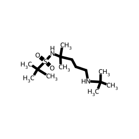 CC(C)(C)NCCCC(C)(C)NS(=O)(=O)C(C)(C)C